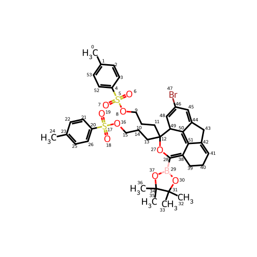 Cc1ccc(S(=O)(=O)OCCCC2(CCCOS(=O)(=O)c3ccc(C)cc3)OC(B3OC(C)(C)C(C)(C)O3)=C3CCC=C4CC5=CC(Br)=CC2C5=C43)cc1